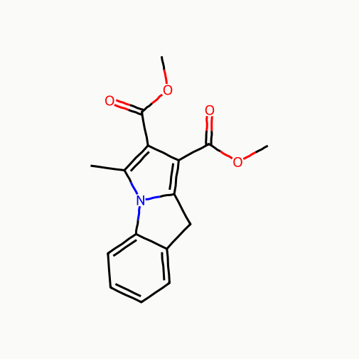 COC(=O)c1c(C(=O)OC)c2n(c1C)-c1ccccc1C2